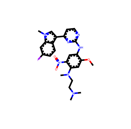 COc1cc(N(C)CCN(C)C)c([N+](=O)[O-])cc1Nc1nccc(-c2cn(C)c3cc(I)ccc23)n1